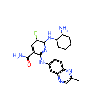 Cc1cnc2cc(NC3=NC(N[C@@H]4CCCCC4N)C(F)C=C3C(N)=O)ccc2n1